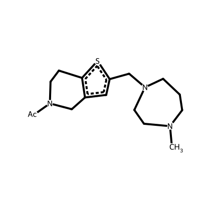 CC(=O)N1CCc2sc(CN3CCCN(C)CC3)cc2C1